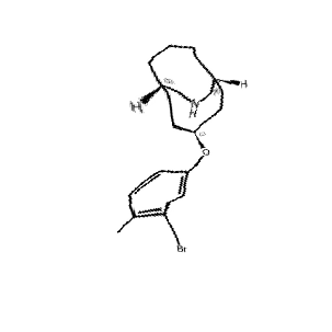 Cc1ccc(O[C@@H]2C[C@H]3CCC[C@@H](C2)N3)cc1Br